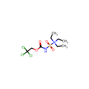 CC[N+](CC)(CC)S(=O)(=O)NC(=O)OCC(Cl)(Cl)Cl